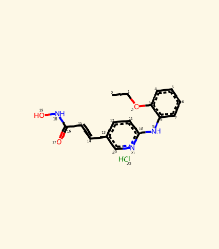 CCOc1ccccc1Nc1ccc(C=CC(=O)NO)cn1.Cl